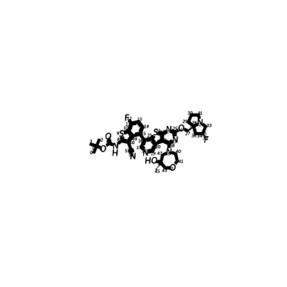 CC(C)(C)OC(=O)Nc1sc2c(F)ccc(-c3cncc4c3sc3nc(OC[C@@]56CCCN5C[C@H](F)C6)nc(N5CCOC[C@@](C)(O)C5)c34)c2c1C#N